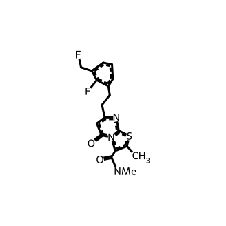 CNC(=O)c1c(C)sc2nc(CCc3cccc(CF)c3F)cc(=O)n12